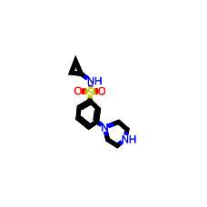 O=S(=O)(NC1CC1)c1cccc(N2CCNCC2)c1